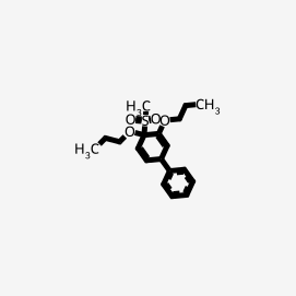 CCCOC1=CC(c2ccccc2)C=CC1(OCCC)S(C)(=O)=O